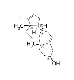 C[C@]12CC[C@H](O)CC1=CC[C@@H]1C2CC[C@]2(C)C(I)=CC[C@@H]12